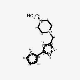 O=C(O)N1CCN(Cc2noc(-c3cccs3)n2)CC1